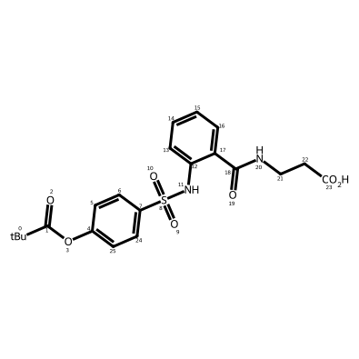 CC(C)(C)C(=O)Oc1ccc(S(=O)(=O)Nc2ccccc2C(=O)NCCC(=O)O)cc1